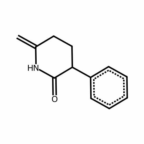 C=C1CCC(c2ccccc2)C(=O)N1